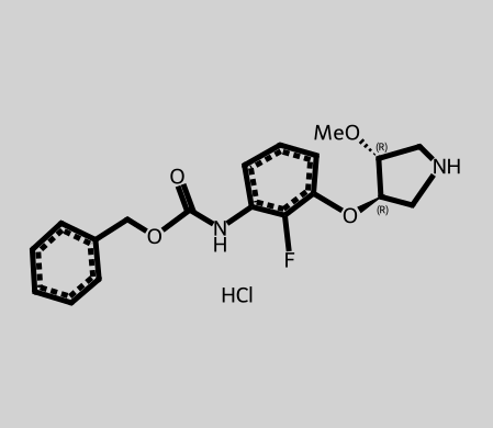 CO[C@@H]1CNC[C@H]1Oc1cccc(NC(=O)OCc2ccccc2)c1F.Cl